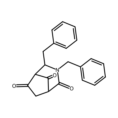 O=C1CC2C(=O)C1C(Cc1ccccc1)N(Cc1ccccc1)C2=O